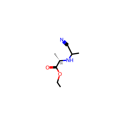 CCOC(=O)[C@H](C)NC(C)C#N